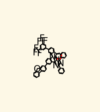 FC(F)(F)c1cc(-c2ccc3c4ccccc4n(-c4ccc(-c5ccc6c(c5)oc5ccccc56)cc4-c4nc(-c5ccccc5)nc(-c5ccccc5)n4)c3c2)cc(C(F)(F)F)c1